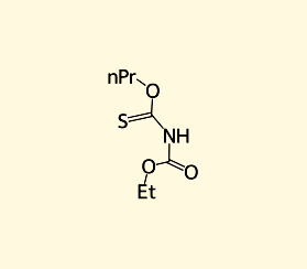 CCCOC(=S)NC(=O)OCC